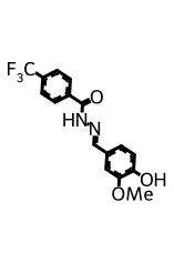 COc1cc(C=NNC(=O)c2ccc(C(F)(F)F)cc2)ccc1O